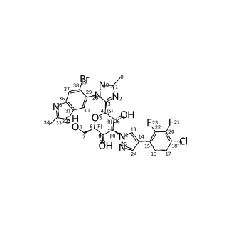 Cc1nc([C@@H]2O[C@H](CO)[C@H](O)[C@H](n3cc(-c4ccc(Cl)c(F)c4F)cn3)[C@H]2O)n(-c2cc3sc(C)nc3cc2Br)n1